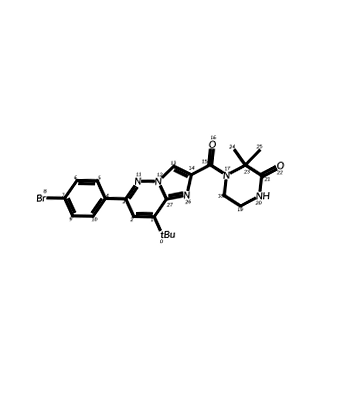 CC(C)(C)c1cc(-c2ccc(Br)cc2)nn2cc(C(=O)N3CCNC(=O)C3(C)C)nc12